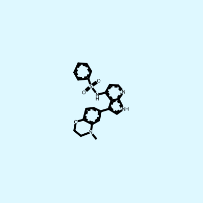 CN1CCOc2ccc(-c3c[nH]c4nccc(NS(=O)(=O)c5ccccc5)c34)cc21